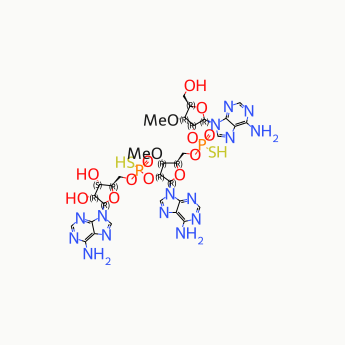 CO[C@H]1[C@@H](OP(=O)(S)OC[C@H]2O[C@@H](n3cnc4c(N)ncnc43)[C@H](OP(=O)(S)OC[C@H]3O[C@@H](n4cnc5c(N)ncnc54)[C@H](O)[C@@H]3O)[C@@H]2OC)[C@H](n2cnc3c(N)ncnc32)O[C@@H]1CO